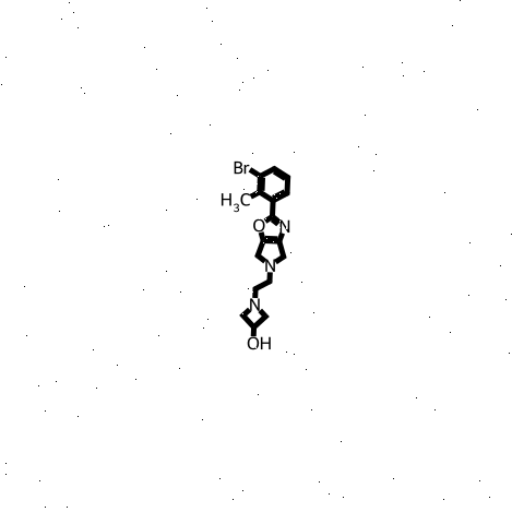 Cc1c(Br)cccc1-c1nc2c(o1)CN(CCN1CC(O)C1)C2